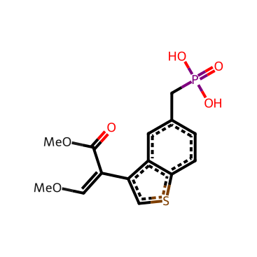 COC=C(C(=O)OC)c1csc2ccc(CP(=O)(O)O)cc12